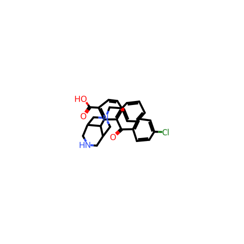 O=C(O)c1cccc(C(=O)c2ccc(Cl)cc2)c1C1C2CNCC1CN(Cc1ccccc1)C2